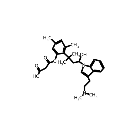 Cc1cc(C)c(C(C)(C)CC(O)n2cc(CCN(C)C)c3ccccc32)c(OC(=O)CC(=O)O)c1